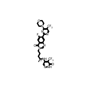 C[C@@H](CCCn1cnc2cc(-c3ncc(C(F)(F)F)c(N4CCOCC4)n3)c(F)cc2c1=O)Nc1cn[nH]c(=O)c1C(F)(F)F